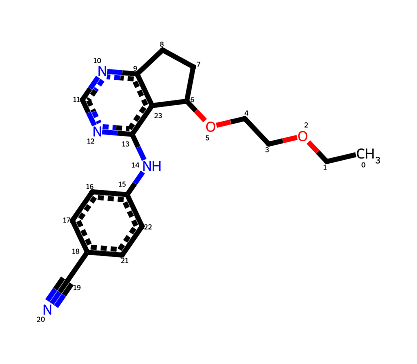 CCOCCOC1CCc2ncnc(Nc3ccc(C#N)cc3)c21